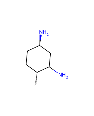 C[C@@H]1CC[C@@H](N)CC1N